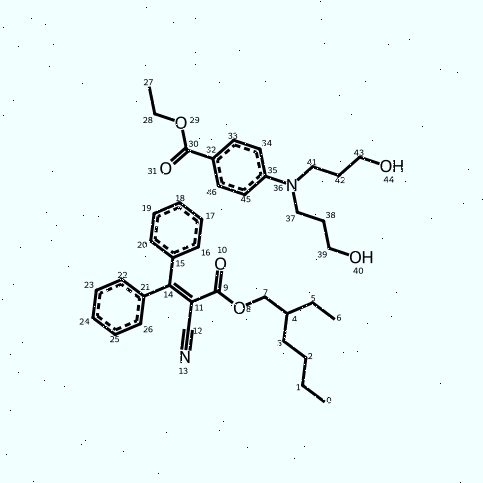 CCCCC(CC)COC(=O)C(C#N)=C(c1ccccc1)c1ccccc1.CCOC(=O)c1ccc(N(CCCO)CCCO)cc1